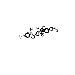 CCc1ccc(NC(=O)C2CCN(S(=O)(=O)c3ccc(C)cc3C)CC2)cc1